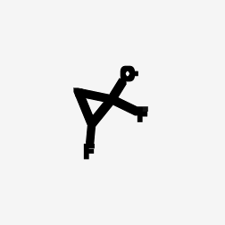 [O]C1(F)CC1F